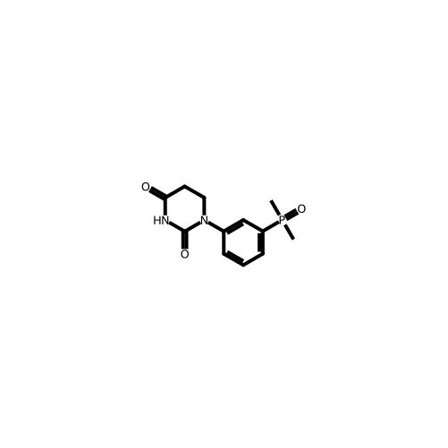 CP(C)(=O)c1cccc(N2CCC(=O)NC2=O)c1